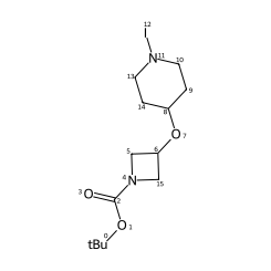 CC(C)(C)OC(=O)N1CC(OC2CCN(I)CC2)C1